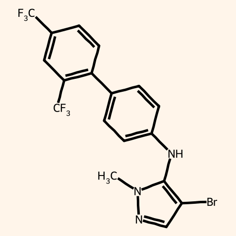 Cn1ncc(Br)c1Nc1ccc(-c2ccc(C(F)(F)F)cc2C(F)(F)F)cc1